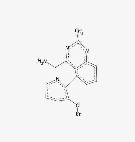 CCOc1cccnc1-c1cccc2nc(C)nc(CN)c12